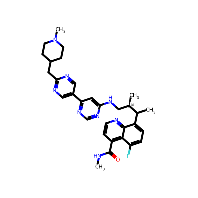 CNC(=O)c1ccnc2c(C(C)[C@H](C)CNc3cc(-c4cnc(CC5CCN(C)CC5)nc4)ncn3)ccc(F)c12